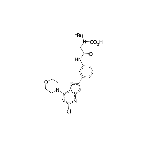 CC(C)(C)N(CC(=O)Nc1cccc(-c2cc3nc(Cl)nc(N4CCOCC4)c3s2)c1)C(=O)O